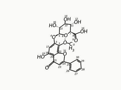 COc1c(O[C@@H]2O[C@H](C(=O)O)[C@@H](O)[C@H](O)[C@H]2O)cc(O)c2c(=O)cc(-c3ccccc3)oc12